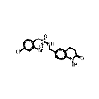 CCCN1C(=O)CCc2cc(CNS(=O)(=O)Cc3ccc(Cl)cc3Br)ccc21